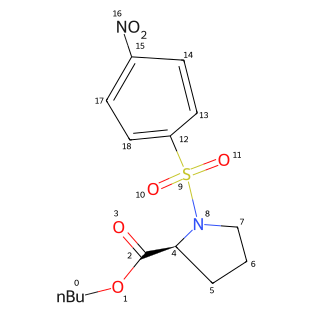 CCCCOC(=O)[C@@H]1CCCN1S(=O)(=O)c1ccc([N+](=O)[O-])cc1